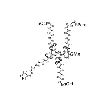 CC/C=C\C/C=C\C/C=C\CCCCCCCC(=O)Oc1cc(OC(=O)CCCCCCC/C=C\CCCCCCCC)cc2c1CC(OC(=O)CCCCCCC/C=C\CCCCCCCC)C(c1ccc(OC)c(OC(=O)CCCCCCC/C=C\C/C=C\CCCCC)c1)O2